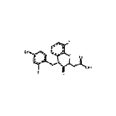 O=C(O)CC1Sc2c(F)cccc2N(Cc2ccc(Br)cc2F)C1=O